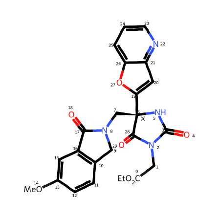 CCOC(=O)CN1C(=O)N[C@@](CN2Cc3ccc(OC)cc3C2=O)(c2cc3ncccc3o2)C1=O